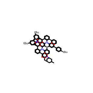 CC1CC2CC(C)N(c3ccc4c(c3)N(c3c(-c5ccccc5)cccc3-c3ccccc3)c3cc(-n5c6ccc(C(C)(C)C)cc6c6cc(C(C)(C)C)ccc65)cc5c3B4c3cc(-c4ccc(C(C)(C)C)cc4)ccc3N5c3c(-c4ccccc4)cccc3-c3ccccc3)C(C1)C2